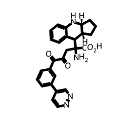 NC(CC(=O)C(=O)c1cccc(-c2ccnnc2)c1)(C(=O)O)C1c2ccccc2N[C@@H]2CCC[C@H]12